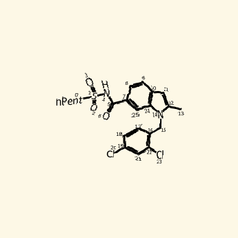 CCCCCS(=O)(=O)NC(=O)c1ccc2cc(C)n(Cc3ccc(Cl)cc3Cl)c2c1